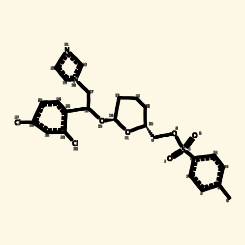 Cc1ccc(S(=O)(=O)OC[C@H]2CCC[C@H](OC(Cn3ccnc3)c3ccc(Cl)cc3Cl)O2)cc1